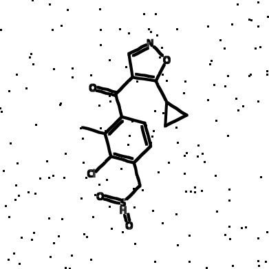 Cc1c(C(=O)c2cnoc2C2CC2)ccc(C[SH](=O)=O)c1Cl